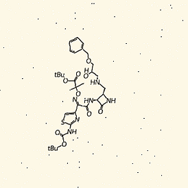 CC(C)(C)OC(=O)Nc1nc(C(=NOC(C)(C)C(=O)OC(C)(C)C)C(=O)N[C@@H]2C(=O)N[C@@H]2CNCC(O)COCc2ccccc2)cs1